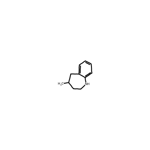 CC1CCNc2ccccc2C1